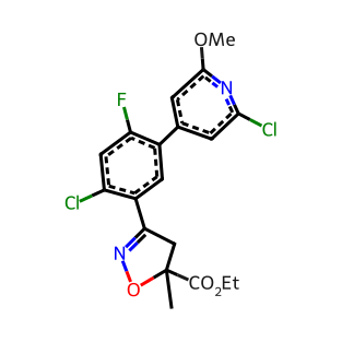 CCOC(=O)C1(C)CC(c2cc(-c3cc(Cl)nc(OC)c3)c(F)cc2Cl)=NO1